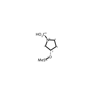 CSO[C@H]1CCN(C(=O)O)C1